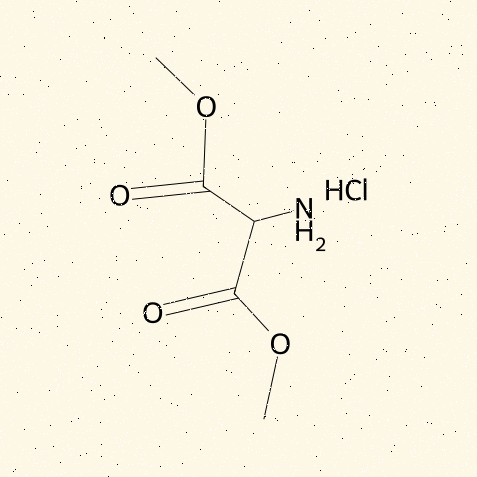 COC(=O)C(N)C(=O)OC.Cl